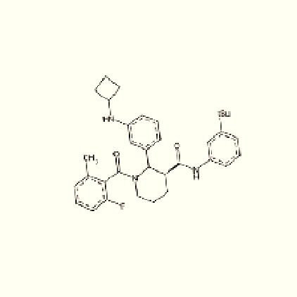 Cc1cccc(F)c1C(=O)N1CCC[C@H](C(=O)Nc2cccc(C(C)(C)C)c2)C1c1cccc(NC2CCC2)c1